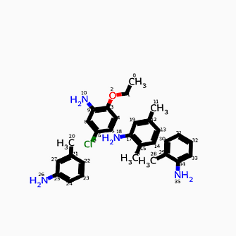 CCOc1ccc(Cl)cc1N.Cc1ccc(C)c(N)c1.Cc1cccc(N)c1.Cc1ccccc1N